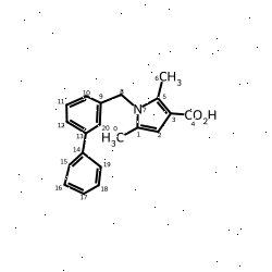 Cc1cc(C(=O)O)c(C)n1Cc1cccc(-c2ccccc2)c1